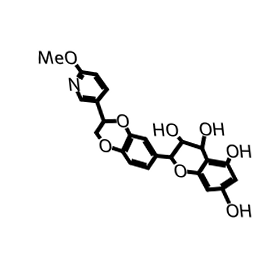 COc1ccc(C2COc3ccc(C4Oc5cc(O)cc(O)c5C(O)C4O)cc3O2)cn1